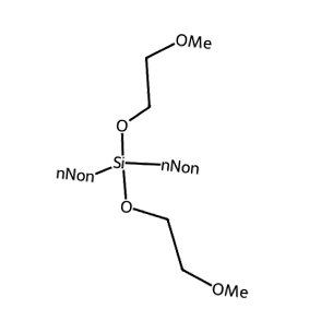 CCCCCCCCC[Si](CCCCCCCCC)(OCCOC)OCCOC